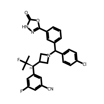 CC(C)(F)[C@H](c1cc(F)cc(C#N)c1)C1CN(C(c2ccc(Cl)cc2)c2cccc(-c3n[nH]c(=O)o3)c2)C1